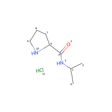 CC(C)NC(=O)C1CCCN1.Cl